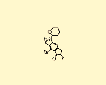 O=C1c2c(cc3c(cnn3C3CCCCO3)c2Br)CC1F